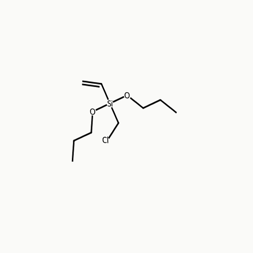 C=C[Si](CCl)(OCCC)OCCC